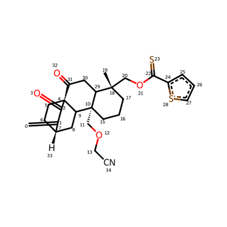 C=C1C(=O)[C@]23CC[C@H]1CC2[C@]1(COCC#N)CCC[C@@](C)(COC(=S)c2cccs2)C1CC3=O